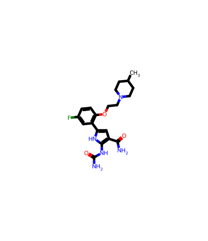 CC1CCN(CCOc2ccc(F)cc2-c2cc(C(N)=O)c(NC(N)=O)[nH]2)CC1